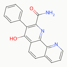 NC(=O)c1nc2c(ccc3cccnc32)c(O)c1-c1ccccc1